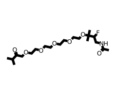 CC(=O)NCC(F)C(C)(C)OCCOCCOCCOCCOCC(=O)C(C)C